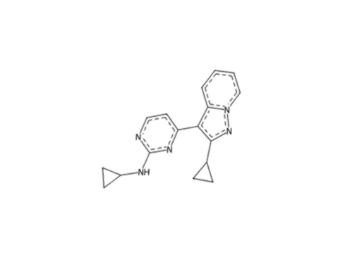 c1ccn2nc(C3CC3)c(-c3ccnc(NC4CC4)n3)c2c1